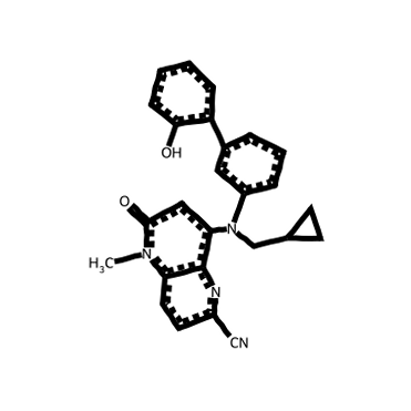 Cn1c(=O)cc(N(CC2CC2)c2cccc(-c3ccccc3O)c2)c2nc(C#N)ccc21